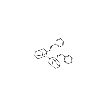 C(=CC12CC3CC(C1)CC(C1C4CC5CC(C4)CC1(C=Cc1ccccc1)C5)(C3)C2)c1ccccc1